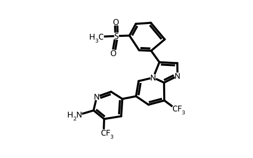 CS(=O)(=O)c1cccc(-c2cnc3c(C(F)(F)F)cc(-c4cnc(N)c(C(F)(F)F)c4)cn23)c1